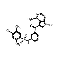 Cc1cc(S(=O)(=O)Nc2cccc(C(=O)c3cn(C(C)C)c4ncnc(N)c34)c2)c(C)cc1Cl